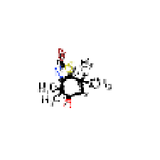 CC1(C)CC(=O)C(C)(C)c2nc(Br)sc21